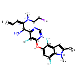 C=C/C=C(\C(N)c1ncnc(Oc2cc(F)c3c(cc(C)n3CC)c2F)c1F)N(CC)CCI